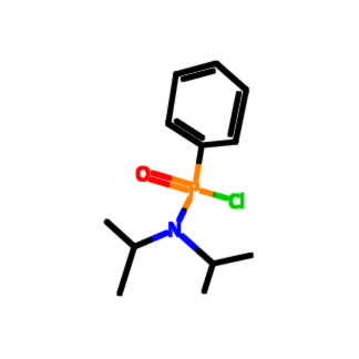 CC(C)N(C(C)C)P(=O)(Cl)c1ccccc1